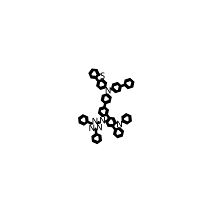 c1ccc(-c2ccc(N(c3ccc(-c4ccc5c(c4)c4cc6c(cc4n5-c4nc(-c5ccccc5)nc(-c5ccccc5)n4)c4ccccc4n6-c4ccccc4)cc3)c3ccc4c(c3)sc3ccccc34)cc2)cc1